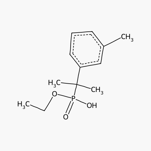 CCOP(=O)(O)C(C)(C)c1cccc(C)c1